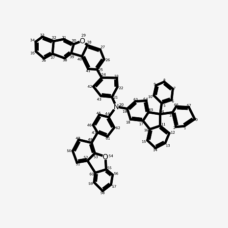 c1ccc(C2(c3ccccc3)c3ccccc3-c3cc(N(c4ccc(-c5ccc6oc7cc8ccccc8cc7c6c5)cc4)c4ccc(-c5cccc6c5oc5ccccc56)cc4)ccc32)cc1